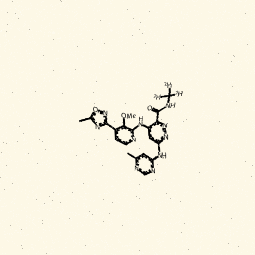 [2H]C([2H])([2H])NC(=O)c1nnc(Nc2cc(C)ncn2)cc1Nc1nccc(-c2noc(C)n2)c1OC